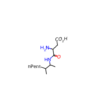 CCCCCC(C)C(C)NC(=O)C(N)CC(=O)O